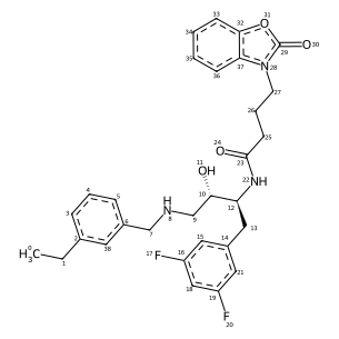 CCc1cccc(CNC[C@H](O)[C@H](Cc2cc(F)cc(F)c2)NC(=O)CCCn2c(=O)oc3ccccc32)c1